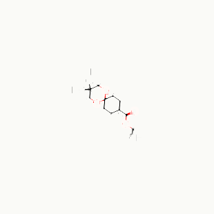 CCOC(=O)C1CCC2(CC1)OCC(C)(C)CO2